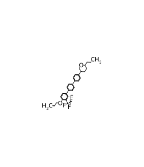 C=CCOc1ccc(-c2ccc(-c3ccc(C4CCC(CCC)OC4)cc3)cc2)c(F)c1C(F)(F)F